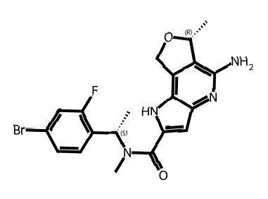 C[C@H]1OCc2c1c(N)nc1cc(C(=O)N(C)[C@@H](C)c3ccc(Br)cc3F)[nH]c21